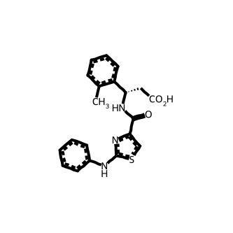 Cc1ccccc1[C@H](CC(=O)O)NC(=O)c1csc(Nc2ccccc2)n1